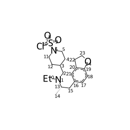 CCN(CC1CCN(S(=O)(=O)Cl)CC1)[C@@H](C)Cc1ccc2c(c1)CCO2